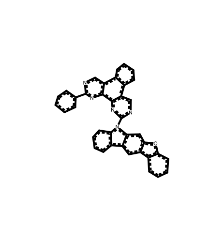 c1ccc(-c2ncc3c4ccccc4c4cnc(-n5c6ccccc6c6cc7c(cc65)oc5ccccc57)nc4c3n2)cc1